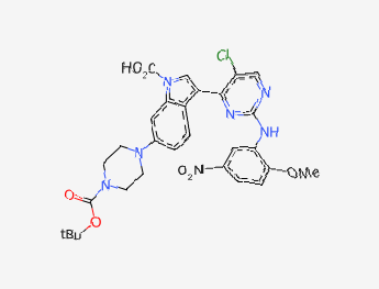 COc1ccc([N+](=O)[O-])cc1Nc1ncc(Cl)c(-c2cn(C(=O)O)c3cc(N4CCN(C(=O)OC(C)(C)C)CC4)ccc23)n1